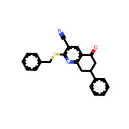 N#Cc1cc2c(nc1SCc1ccccc1)CC(c1ccccc1)CC2=O